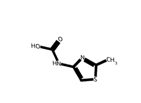 Cc1nc(NC(=O)O)cs1